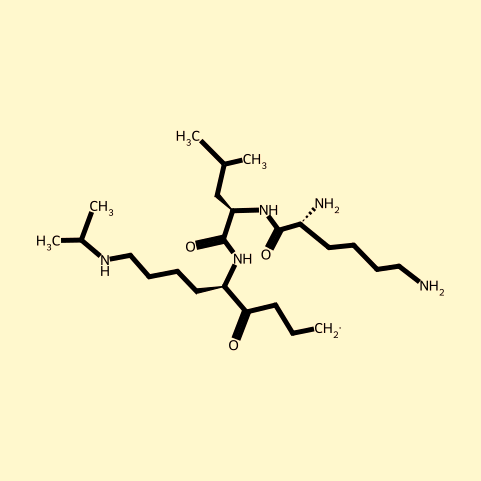 [CH2]CCC(=O)[C@@H](CCCCNC(C)C)NC(=O)[C@@H](CC(C)C)NC(=O)[C@H](N)CCCCN